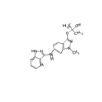 Cn1nc(OC(C)(C)O)c2ccc(Nc3n[nH]c4cccnc34)cc21